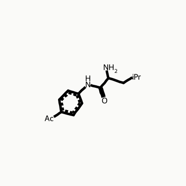 CC(=O)c1ccc(NC(=O)C(N)CC(C)C)cc1